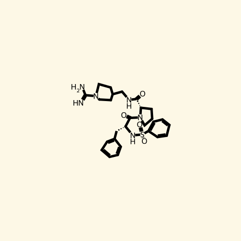 N=C(N)N1CCC(CNC(=O)[C@@H]2CCCN2C(=O)[C@@H](Cc2ccccc2)NS(=O)(=O)c2ccccc2)CC1